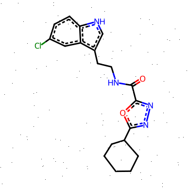 O=C(NCCc1c[nH]c2ccc(Cl)cc12)c1nnc(C2CCCCC2)o1